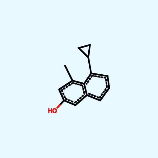 Cc1cc(O)cc2cccc(C3CC3)c12